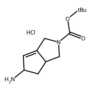 CC(C)(C)OC(=O)N1CC2=CC(N)CC2C1.Cl